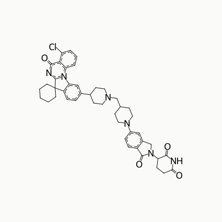 O=C1CCC(N2Cc3cc(N4CCC(CN5CCC(c6ccc7c(c6)-n6c(nc(=O)c8c(Cl)cccc86)C76CCCCC6)CC5)CC4)ccc3C2=O)C(=O)N1